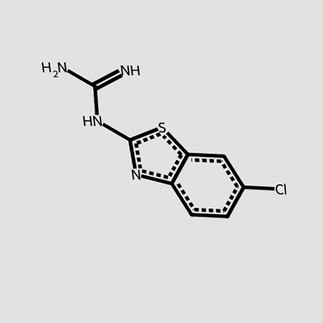 N=C(N)Nc1nc2ccc(Cl)cc2s1